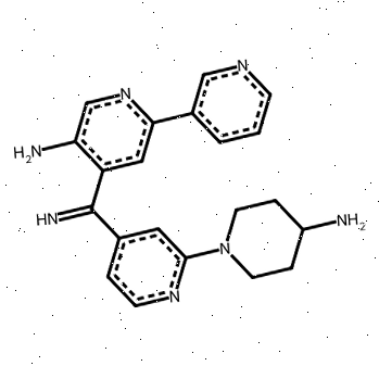 N=C(c1ccnc(N2CCC(N)CC2)c1)c1cc(-c2cccnc2)ncc1N